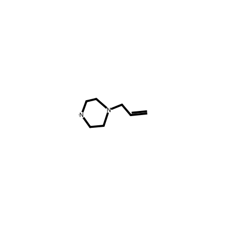 C=CCN1CC[N]CC1